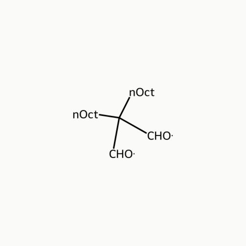 CCCCCCCCC([C]=O)([C]=O)CCCCCCCC